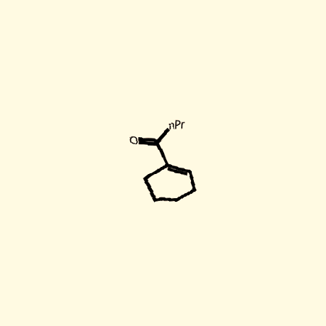 CCCC(=O)C1=CCCCC1